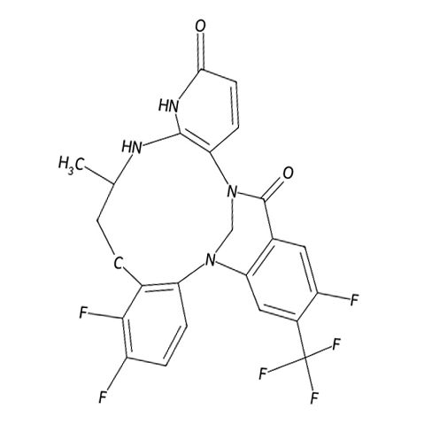 CC1CCc2c(ccc(F)c2F)N2CN(C(=O)c3cc(F)c(C(F)(F)F)cc32)c2ccc(=O)[nH]c2N1